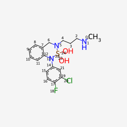 CNCCCN1Cc2ccccc2N(c2ccc(F)c(Cl)c2)S1(O)O